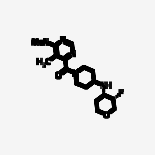 CNc1ncnc(C(=O)N2CCC(N[C@H]3CCOC[C@H]3F)CC2)c1C